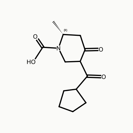 C[C@@H]1CC(=O)C(C(=O)C2CCCC2)CN1C(=O)O